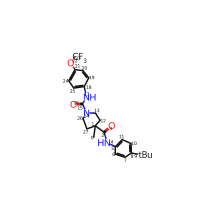 CC1(C(=O)Nc2ccc(C(C)(C)C)cc2)CCN(C(=O)Nc2ccc(OC(F)(F)F)cc2)CC1